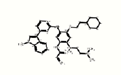 C=CC(=O)Nc1cc(Nc2nccc(-c3cn(C)c4ccccc34)n2)c(OCCC2CCCCC2)cc1N(C)CCN(C)C